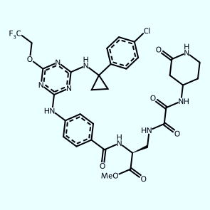 COC(=O)[C@H](CNC(=O)C(=O)NC1CCNC(=O)C1)NC(=O)c1ccc(Nc2nc(NC3(c4ccc(Cl)cc4)CC3)nc(OCC(F)(F)F)n2)cc1